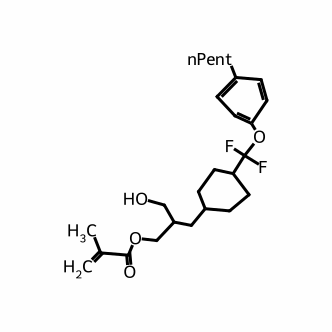 C=C(C)C(=O)OCC(CO)CC1CCC(C(F)(F)Oc2ccc(CCCCC)cc2)CC1